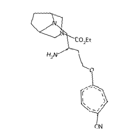 CCOC(=O)N1CC2CCC(C1)N2CC(N)CCOc1ccc(C#N)cc1